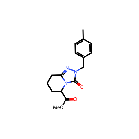 COC(=O)C1CCCc2nn(Cc3ccc(C)cc3)c(=O)n21